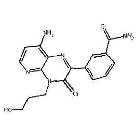 NC(=O)c1cccc(-c2nc3c(N)ccnc3n(CCCO)c2=O)c1